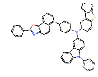 C1=CC(N(c2ccc(-c3cccc4c3ccc3nc(-c5ccccc5)oc34)cc2)c2ccc3c(c2)c2ccccc2n3-c2ccccc2)Cc2c1sc1ccccc21